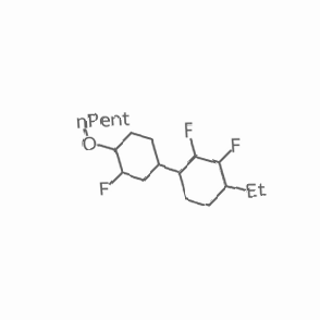 CCCCCOC1CCC(C2CCC(CC)C(F)C2F)CC1F